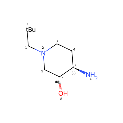 CC(C)(C)CN1CC[C@@H](N)[C@H](O)C1